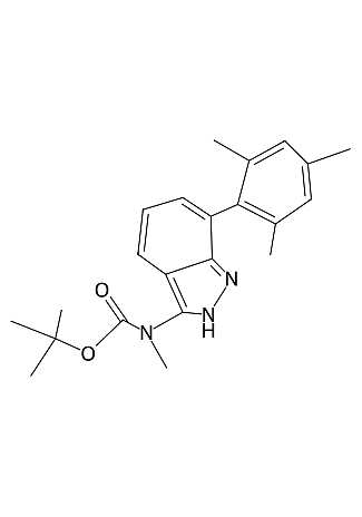 Cc1cc(C)c(-c2cccc3c(N(C)C(=O)OC(C)(C)C)[nH]nc23)c(C)c1